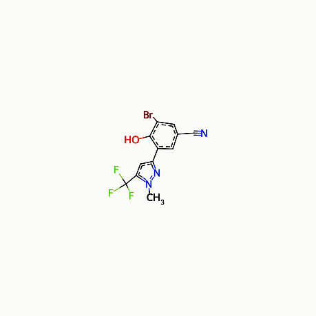 Cn1nc(-c2cc(C#N)cc(Br)c2O)cc1C(F)(F)F